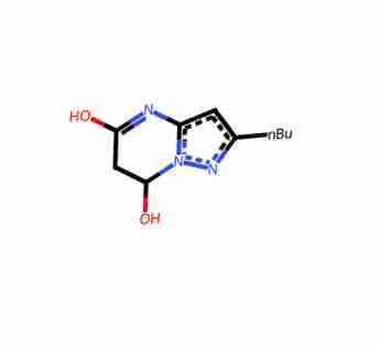 CCCCc1cc2n(n1)C(O)CC(O)=N2